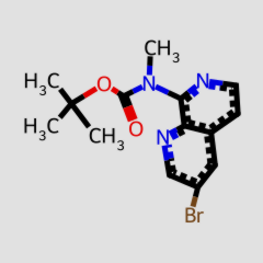 CN(C(=O)OC(C)(C)C)c1nccc2cc(Br)cnc12